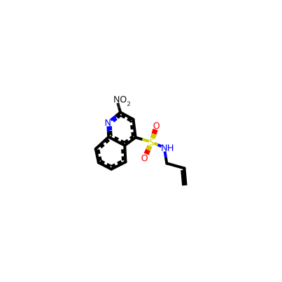 C=CCNS(=O)(=O)c1cc([N+](=O)[O-])nc2ccccc12